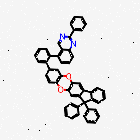 c1ccc(-c2ncc3c(-c4ccccc4-c4ccc5c(c4)Oc4cc6c(cc4O5)C(c4ccccc4)(c4ccccc4)c4ccccc4-6)cccc3n2)cc1